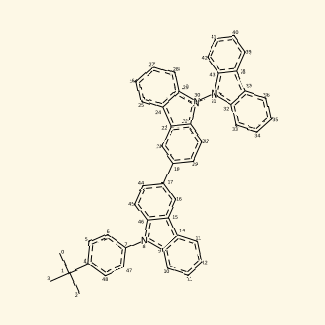 CC(C)(C)c1ccc(-n2c3ccccc3c3cc(-c4ccc5c(c4)c4ccccc4n5-n4c5ccccc5c5ccccc54)ccc32)cc1